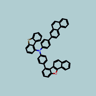 c1ccc2c(c1)ccc1cc(-c3ccc(N(c4ccc(-c5cccc6oc7c8ccccc8ccc7c56)cc4)c4cccc5sc6ccccc6c45)cc3)ccc12